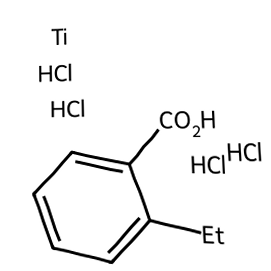 CCc1ccccc1C(=O)O.Cl.Cl.Cl.Cl.[Ti]